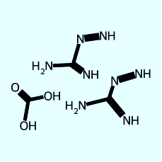 N=NC(=N)N.N=NC(=N)N.O=C(O)O